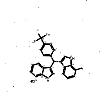 Cc1cccc2c([C](c3ccc(C(F)(F)F)cc3)c3c[nH]c4ccccc34)c[nH]c12.Cl